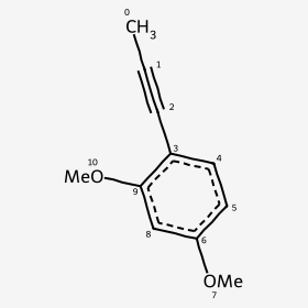 CC#Cc1ccc(OC)cc1OC